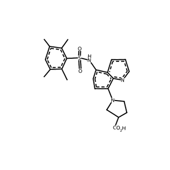 Cc1cc(C)c(C)c(S(=O)(=O)Nc2ccc(N3CCC(C(=O)O)C3)c3ncccc23)c1C